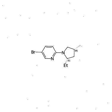 CC[C@H]1C[C@@H](C)CN1c1ccc(Br)cn1